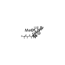 CC=CCCCc1nnc(N2C(=O)N(CBr)CCC2OC)s1